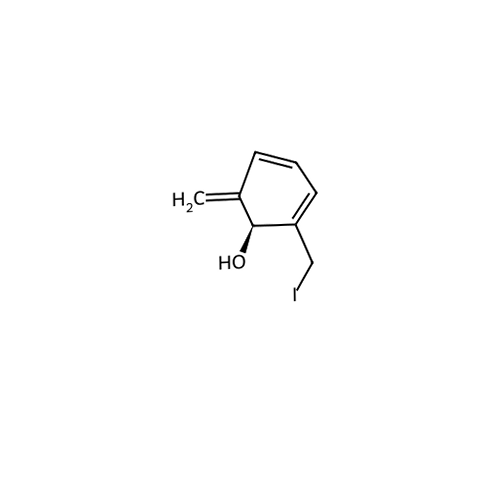 C=C1C=CC=C(CI)[C@H]1O